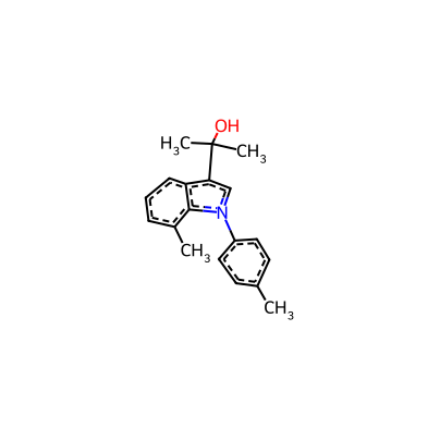 Cc1ccc(-n2cc(C(C)(C)O)c3cccc(C)c32)cc1